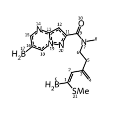 B/C(=C/C(=C)CCN(C)C(=O)c1cc2ncc(B)cn2n1)SC